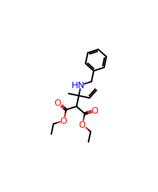 C=CC(C)(NCc1ccccc1)C(C(=O)OCC)C(=O)OCC